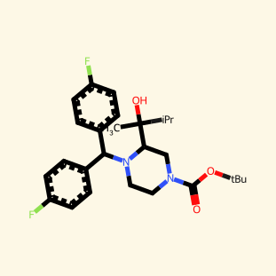 CC(C)C(C)(O)C1CN(C(=O)OC(C)(C)C)CCN1C(c1ccc(F)cc1)c1ccc(F)cc1